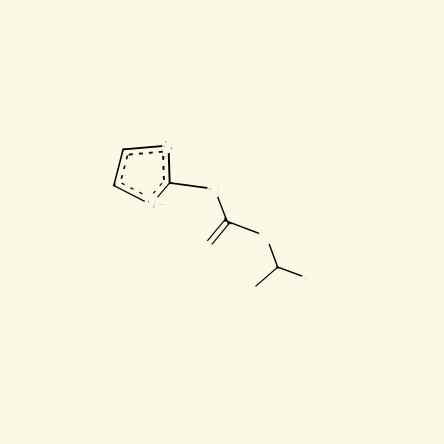 CC(C)OC(=O)Oc1ncc[nH]1